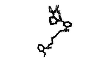 COC1CCCCC1NCCCCCNc1cccc(-c2n[nH]c(=O)c3ccccc23)c1